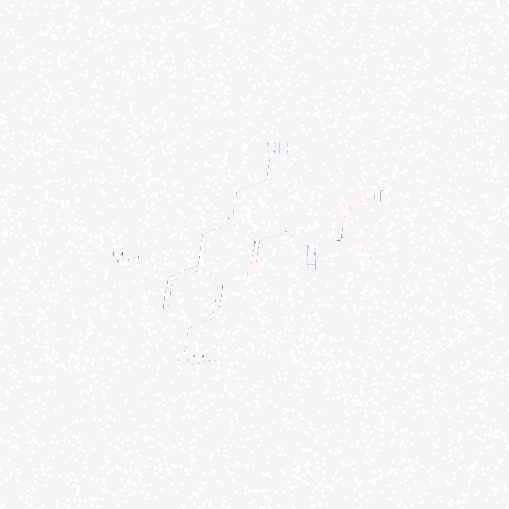 COc1ccc(CN(CCN)C(=O)CNC(=O)OC(C)(C)C)c(OC)c1